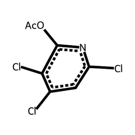 CC(=O)Oc1nc(Cl)cc(Cl)c1Cl